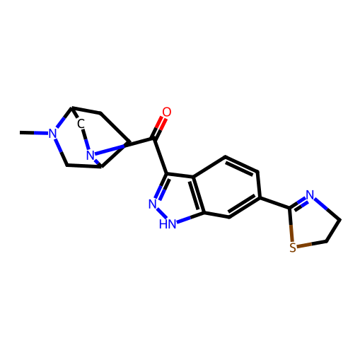 CN1CC2CCC1CN2C(=O)c1n[nH]c2cc(C3=NCCS3)ccc12